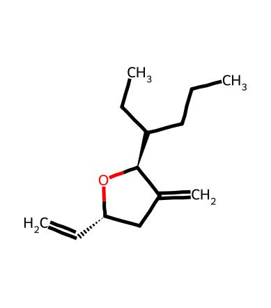 C=C[C@H]1CC(=C)[C@H](C(CC)CCC)O1